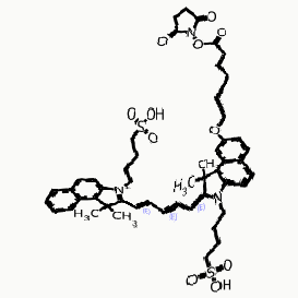 CC1(C)C(/C=C/C=C/C=C2/N(CCCCS(=O)(=O)O)c3ccc4ccc(OCCCCCC(=O)ON5C(=O)CCC5=O)cc4c3C2(C)C)=[N+](CCCCS(=O)(=O)O)c2ccc3ccccc3c21